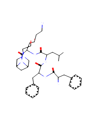 CC(C)CC(NC(=O)C(Cc1ccccc1)NC(=O)C(N)Cc1ccccc1)C(=O)NC(CCCCN)C(=O)N1C2CC1CN(CCO)C2